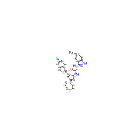 O=C(CNc1n[nH]c2ccc(C(F)(F)F)cc12)NC1CN(C2CCCOCC2)C[C@@H]1CC1CCc2cc(F)ncc21